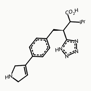 CC(C)C(C(=O)O)[C@H](Cc1ccc(C2=CCNC2)cc1)c1nnn[nH]1